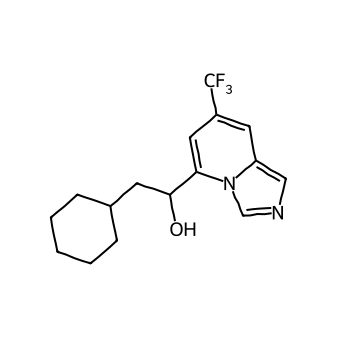 OC(CC1CCCCC1)c1cc(C(F)(F)F)cc2cncn12